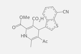 COC(=O)C1=C(C(=O)O)C(c2csc3c(C#N)cccc23)C(C(C)=O)=C(C)N1